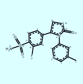 Cc1cncc(-n2c(-c3ccc(S(N)(=O)=O)c(F)c3)csc2=O)c1